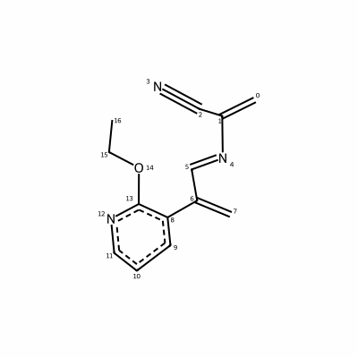 C=C(C#N)/N=C/C(=C)c1cccnc1OCC